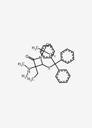 CCC1([SiH](C)C)C(=O)N(C(C)(C)C)C1SC(c1ccccc1)(c1ccccc1)c1ccccc1